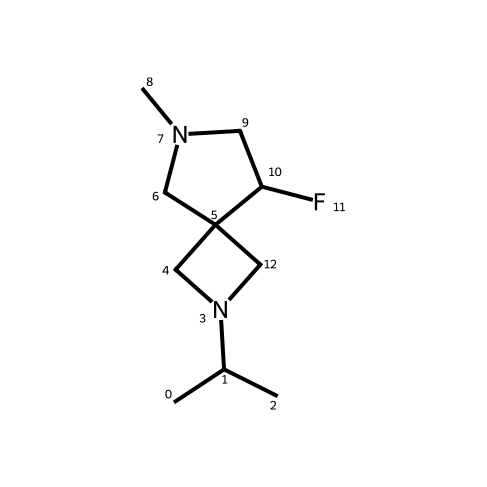 CC(C)N1CC2(CN(C)CC2F)C1